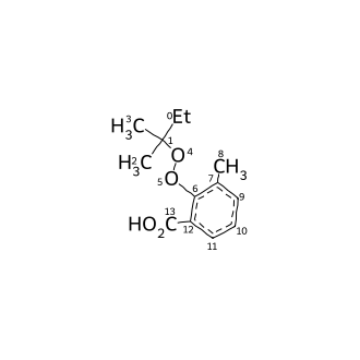 CCC(C)(C)OOc1c(C)cccc1C(=O)O